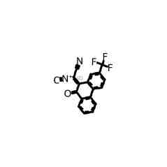 [C-]#[N+]/C(C#N)=C1\C(=O)c2ccccc2-c2ccc(C(F)(F)F)cc21